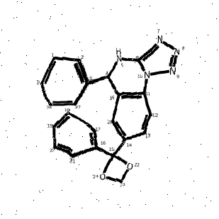 c1ccc(C2Nc3nnnn3-c3ccc(C4(c5ccccc5)OCO4)cc32)cc1